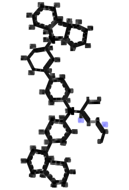 C=C/C(=C\C=C/C)N(c1ccc(C2=CC(n3c4ccccc4c4ccccc43)=CCC2)cc1)c1ccc(-c2cccc3ccccc23)cc1